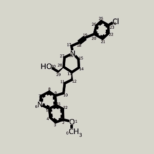 COc1ccc2nccc(CCC[C@@H]3CCN(CC#Cc4ccc(Cl)cc4)C[C@@H]3CO)c2c1